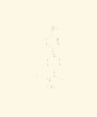 CN(C)C(=O)C1CCN(c2ccc(C(C)(C)C)cc2)CC1